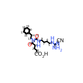 N#C/N=C(/N)NCCCCNC(=O)N(CCc1ccccc1)C(=O)CCCC(=O)O